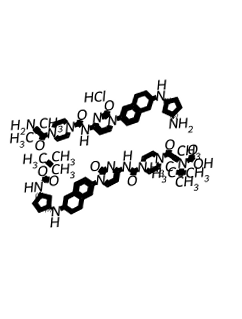 CC(C)(C)OC(=O)N[C@H]1CC[C@H](NC2CCc3cc(-n4ccc(NC(=O)N5CCN(C(=O)C(C)(C)N(C(=O)O)C(C)(C)C)CC5)nc4=O)ccc3C2)C1.CC(C)(N)C(=O)N1CCN(C(=O)Nc2ccn(-c3ccc4c(c3)CCC(N[C@H]3CC[C@H](N)C3)C4)c(=O)n2)CC1.Cl